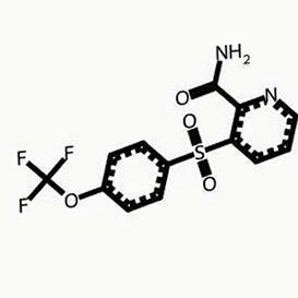 NC(=O)c1ncccc1S(=O)(=O)c1ccc(OC(F)(F)F)cc1